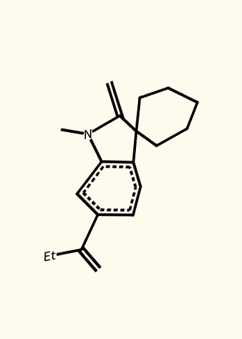 C=C(CC)c1ccc2c(c1)N(C)C(=C)C21CCCCC1